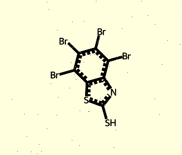 Sc1nc2c(Br)c(Br)c(Br)c(Br)c2s1